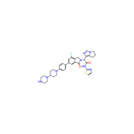 O=C(Nc1nccs1)C(c1ncn2c1CCC2)N1Cc2c(F)cc(-c3ccc(N4CCC(N5CCNCC5)CC4)cc3)cc2C1=O